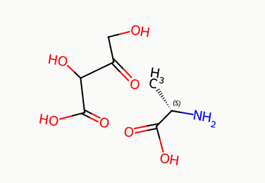 C[C@H](N)C(=O)O.O=C(O)C(O)C(=O)CO